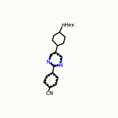 CCCCCCC1CCC(c2cnc(-c3ccc(C#N)cc3)nc2)CC1